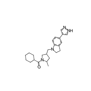 CC1CC(CN2CCc3cc(-c4cn[nH]c4)ccc32)CN1C(=O)C1CCCCC1